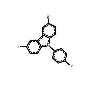 Brc1ccc(-n2c3ccc(Br)cc3c3cc(Br)ccc32)cc1